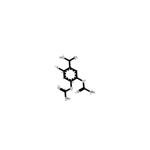 CCC(O)c1cc(OC(=O)C(C)(C)C)c(OC(=O)C(C)(C)C)cc1F